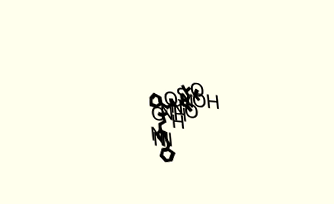 CC1(C)SC2[C@H](NC(=O)[C@H](NC(=O)CCc3cn(Cc4ccccc4)nn3)c3ccccc3)C(=O)N2[C@H]1C(=O)O